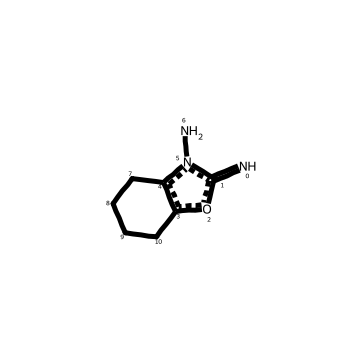 N=c1oc2c(n1N)CCCC2